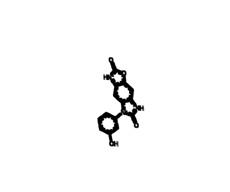 O=c1[nH]c2cc3c(cc2o1)[nH]c(=O)n3-c1cccc(O)c1